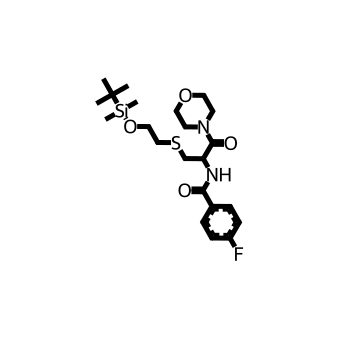 CC(C)(C)[Si](C)(C)OCCSCC(NC(=O)c1ccc(F)cc1)C(=O)N1CCOCC1